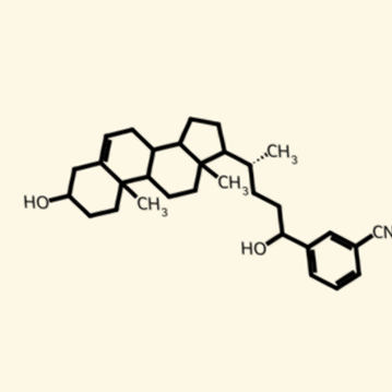 C[C@H](CCC(O)c1cccc(C#N)c1)C1CCC2C3CC=C4CC(O)CCC4(C)C3CCC21C